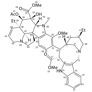 CC[C@@H]1C[C@@H]2C[N@@](Cc3c([nH]c4ccccc34)[C@H](C(=O)OC)C2c2ccc3c(c2OC)N(C)[C@H]2[C@@](O)(C(=O)OC)[C@H](OC(C)=O)[C@]4(CC)C=CCN5CC[C@]32[C@@H]54)C1